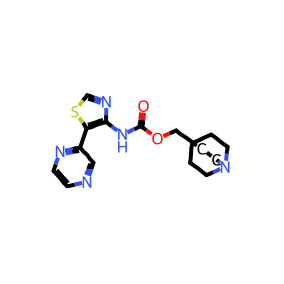 O=C(Nc1ncsc1-c1cnccn1)OCC12CCN(CC1)CC2